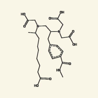 CNC(=O)c1ccc(CC(CN(CC(=O)O)C(C)CCCCCCC(=O)O)N(CC(=O)O)CC(=O)O)cc1